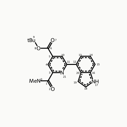 CNC(=O)c1cc(C(=O)OC(C)(C)C)cc(-c2cccc3[nH]ccc23)n1